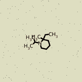 CCC1(C)CCCCN1C(C)C